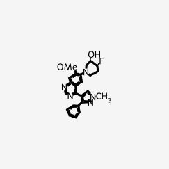 COc1cc2ncnc(-c3cn(C)nc3-c3ccccc3)c2cc1N1CC[C@H](F)[C@@H](O)C1